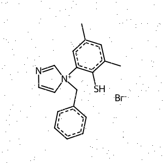 Cc1cc(C)c(S)c([N+]2(Cc3ccccc3)C=CN=C2)c1.[Br-]